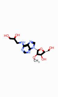 CO[C@@H]1[C@H](O)[C@@H](CO)O[C@H]1n1cnc2c(NCC(O)CO)ncnc21